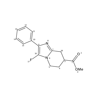 COC(=O)C1CCn2c(nc(-c3ccccc3)c2F)C1